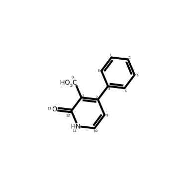 O=C(O)c1c(-c2ccccc2)cc[nH]c1=O